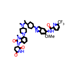 COc1cc2nn(C3CCC(C(C)N(C)C4CCN(c5cccc6c5n(C)c(=O)n6[C@@H]5CCC(=O)NC5=O)CC4)CC3)cc2cc1NC(=O)c1cccc(C(F)(F)F)n1